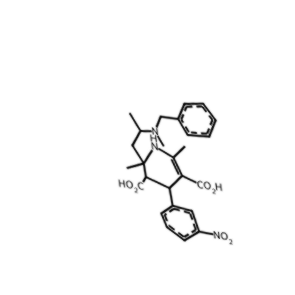 CC1=C(C(=O)O)C(c2cccc([N+](=O)[O-])c2)C(C(=O)O)C(C)(CC(C)N(C)Cc2ccccc2)N1